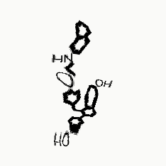 Oc1ccc(-c2ccc3cc(O)ccc3c2Cc2ccc(OCCCNc3ccc4ccccc4c3)cc2)cc1